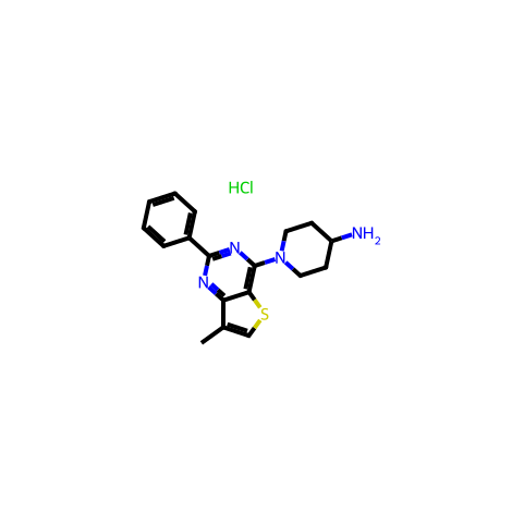 Cc1csc2c(N3CCC(N)CC3)nc(-c3ccccc3)nc12.Cl